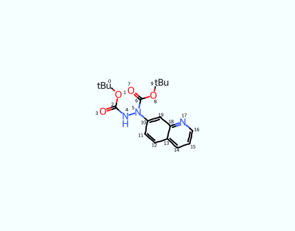 CC(C)(C)OC(=O)NN(C(=O)OC(C)(C)C)c1ccc2cccnc2c1